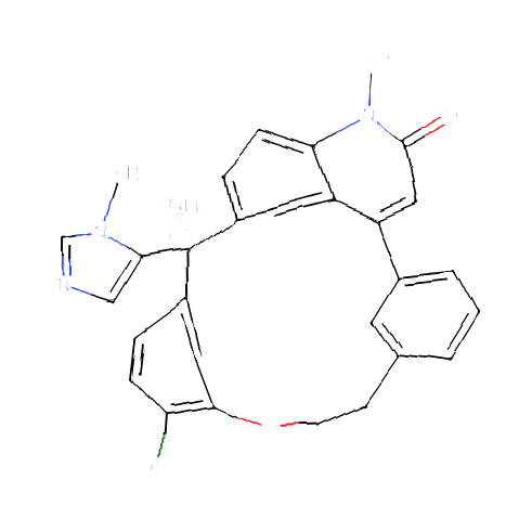 Cn1cncc1[C@]1(N)c2ccc(Cl)c(c2)OCCc2cccc(c2)-c2cc(=O)n(C)c3ccc1cc23